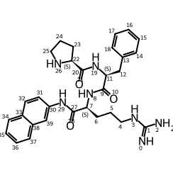 N=C(N)NCCC[C@H](NC(=O)[C@H](Cc1ccccc1)NC(=O)[C@@H]1CCCN1)C(=O)Nc1ccc2ccccc2c1